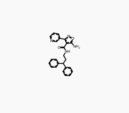 Nc1onc(-c2cccnc2)c1C(=O)NCCC(c1ccccc1)c1ccccc1